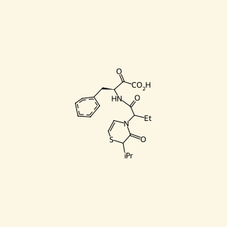 CCC(C(=O)N[C@@H](Cc1ccccc1)C(=O)C(=O)O)N1C=CSC(C(C)C)C1=O